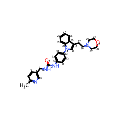 Cc1ccc(CNC(=O)Nc2ccc(-n3cc(CCN4CCOCC4)c4ccccc43)cc2)cn1